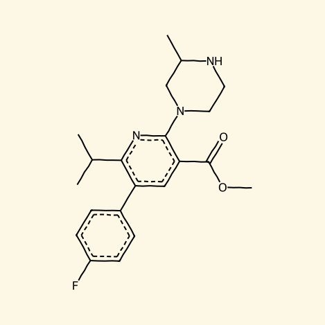 COC(=O)c1cc(-c2ccc(F)cc2)c(C(C)C)nc1N1CCNC(C)C1